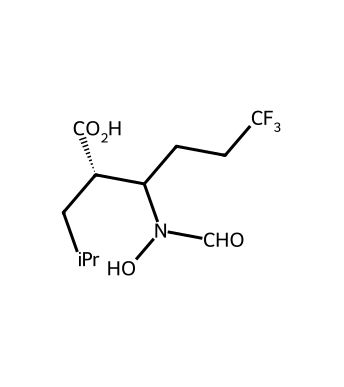 CC(C)C[C@H](C(=O)O)C(CCC(F)(F)F)N(O)C=O